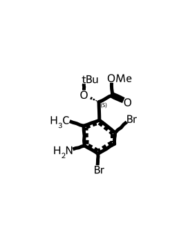 COC(=O)[C@@H](OC(C)(C)C)c1c(Br)cc(Br)c(N)c1C